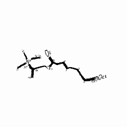 CCCCCCCCCCCCC(=O)OC(C)[N+](C)(C)C